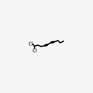 CCCC#CC#CCCC(Cl)Cl